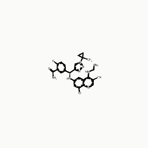 CC(C)(C)CNc1c(C#N)cnc2c(Cl)cc(N[C@@H](c3ccc(F)c(C(N)=O)c3)c3cn(C4(C(F)(F)F)CC4)nn3)cc12